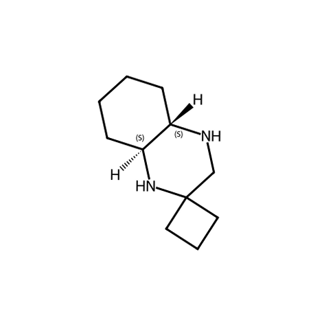 C1CC[C@@H]2NC3(CCC3)CN[C@H]2C1